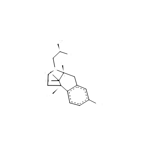 CO[C@@H](C)CN1CC[C@@]2(C)c3ccc(O)cc3C[C@@H]1C2(C)C